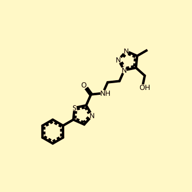 Cc1nnn(CCNC(=O)c2ncc(-c3ccccc3)s2)c1CO